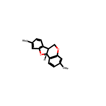 COc1ccc2c(c1)O[C@H]1c3ccc(OC)cc3OCC21